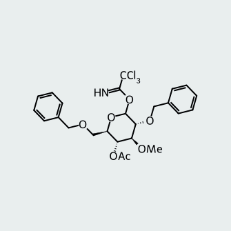 CO[C@H]1[C@H](OC(C)=O)[C@@H](COCc2ccccc2)OC(OC(=N)C(Cl)(Cl)Cl)[C@@H]1OCc1ccccc1